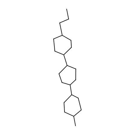 CCCC1CCC(C2CCC(C3CCC(C)CC3)CC2)CC1